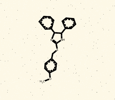 COc1ccc(CSC2=NC(c3ccccc3)C(c3ccccc3)N2)cc1